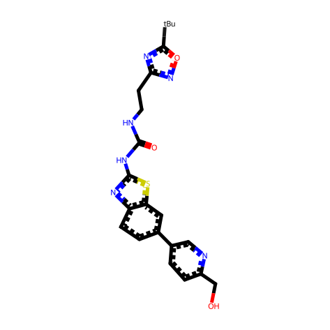 CC(C)(C)c1nc(CCNC(=O)Nc2nc3ccc(-c4ccc(CO)nc4)cc3s2)no1